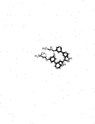 CCNCc1cncc(-c2cc3c(-c4cc5c(-c6cc(F)cc(OCCN(C)C)c6)cncc5[nH]4)n[nH]c3cn2)c1